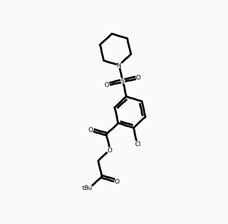 CC(C)(C)C(=O)COC(=O)c1cc(S(=O)(=O)N2CCCCC2)ccc1Cl